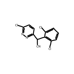 N#CC(c1ccc(Cl)nn1)c1c(Cl)cccc1Cl